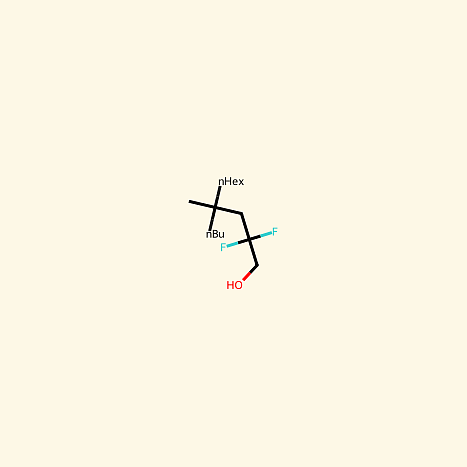 CCCCCCC(C)(CCCC)CC(F)(F)CO